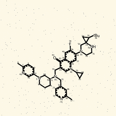 Cc1ccc(N2CCC[C@H](N(Cc3ccnc(C)c3)Cc3cn(C4CC4)c4cc(N5CCNC6(CC6C(C)(C)C)C5)c(F)cc4c3=O)C2)cn1